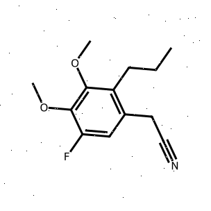 CCCc1c(CC#N)cc(F)c(OC)c1OC